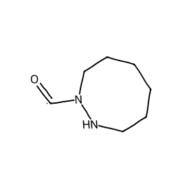 O=[C]N1CCCCCCN1